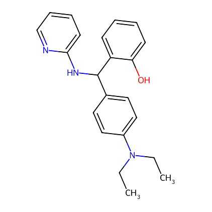 CCN(CC)c1ccc(C(Nc2ccccn2)c2ccccc2O)cc1